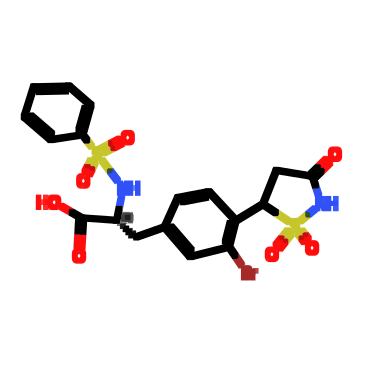 O=C1CC(c2ccc(C[C@@H](NS(=O)(=O)c3ccccc3)C(=O)O)cc2Br)S(=O)(=O)N1